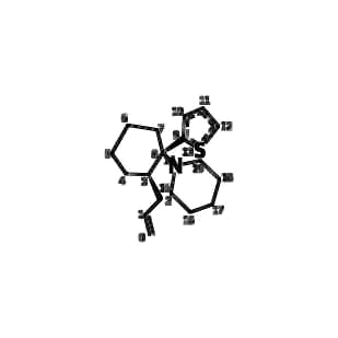 C=CC[C@H]1CCCC[C@]1(c1cccs1)N1CCCCC1